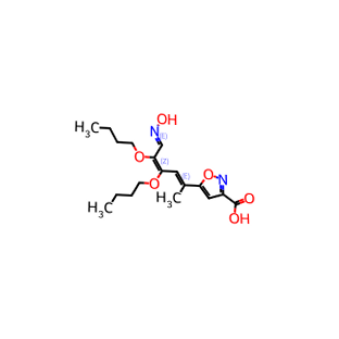 CCCCOC(/C=N/O)=C(/C=C(\C)c1cc(C(=O)O)no1)OCCCC